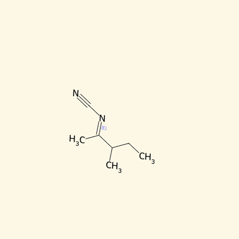 CCC(C)/C(C)=N/C#N